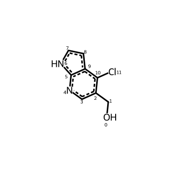 OCc1cnc2[nH]ccc2c1Cl